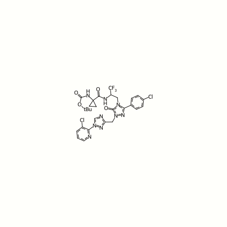 CC(C)(C)OC(=O)NC1(C(=O)NC(Cn2c(-c3ccc(Cl)cc3)nn(Cc3ncn(-c4ncccc4Cl)n3)c2=O)C(F)(F)F)CC1